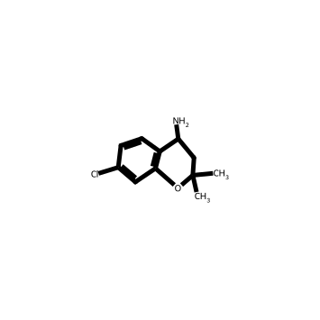 CC1(C)CC(N)c2ccc(Cl)cc2O1